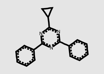 c1ccc(-c2nc(-c3ccccc3)nc(C3CC3)n2)cc1